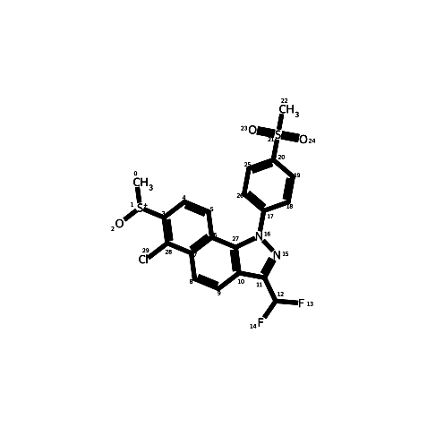 C[S+]([O-])c1ccc2c(ccc3c(C(F)F)nn(-c4ccc(S(C)(=O)=O)cc4)c32)c1Cl